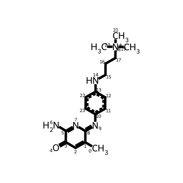 CC1=CC(=O)C(N)=NC1=Nc1ccc(NCCC[N+](C)(C)C)cc1